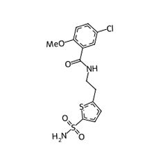 COc1ccc(Cl)cc1C(=O)NCCc1ccc(S(N)(=O)=O)s1